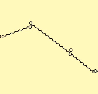 CCCCCCCCCCCCCCCCCCCCCCOC(=O)CCCCCCCCCCCCCCCCCCCCC(=O)OCCCCCCCCCCCCCCCCCCCCCC